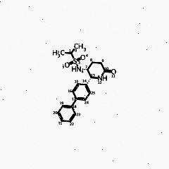 CC(C)S(=O)(=O)N[C@@H]1CCC(=O)N[C@@H]1c1ccc(-c2ccccc2)cc1